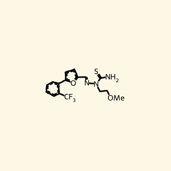 COCCN(N=Cc1ccc(-c2ccccc2C(F)(F)F)o1)C(N)=S